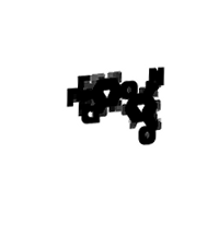 N#Cc1cc(C=O)ccc1Oc1ccc(C(F)(F)F)c(Cl)c1